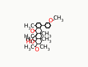 CCOc1cccc(-c2ccc(C)c3c2CC2(C)CC4(C)CC(C)C(C(C)=O)C(O)C4(C)C(C)=C2C3=O)c1